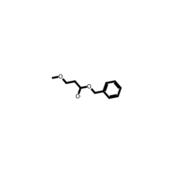 COCCC([O])OCc1ccccc1